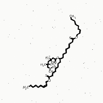 CCCCCC/C=C\COC(=S)CCCCCCCC(CCCCCCCC(=S)OC/C=C\CCCCCC)OC(=O)CC(C)(C)CC(C)(C)CN(C)C